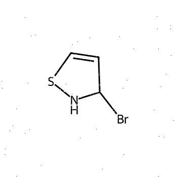 BrC1C=CSN1